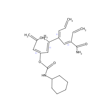 C=C/C=C(\C=C(/C=C)C(N)=O)C(/C)=C/C(=C\C(=C)O)OC(=O)NC1CCCCC1